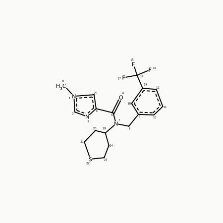 Cn1cnc(C(=O)N(Cc2cccc(C(F)(F)F)c2)C2CCSCC2)c1